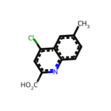 Cc1ccc2nc(C(=O)O)cc(Cl)c2c1